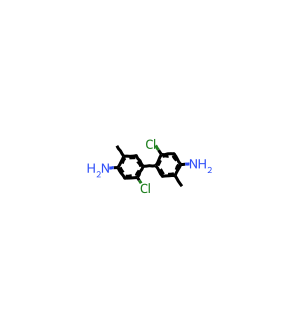 Cc1cc(-c2cc(C)c(N)cc2Cl)c(Cl)cc1N